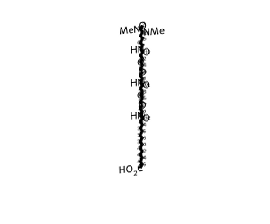 CNC(=O)C(CCCCNC(=O)CCOCCOCCNC(=O)CCOCCOCCNC(=O)CCCCCCCCCCCCCCC(=O)O)NC